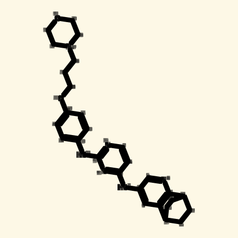 c1cc(Nc2cnc3c(c2)C2CCC3CC2)nc(Nc2ccc(OCCCN3CCOCC3)cc2)n1